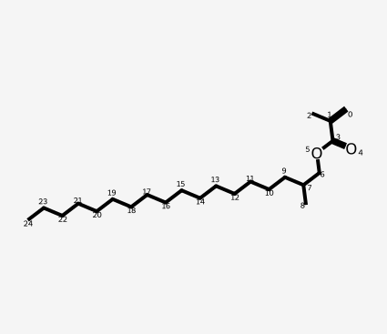 C=C(C)C(=O)OCC(C)CCCCCCCCCCCCCCCC